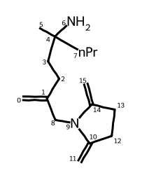 C=C(CCC(C)(N)CCC)CN1C(=C)CCC1=C